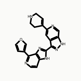 C1=C(c2cc3c(-c4nc5c(-c6ccoc6)nccc5[nH]4)n[nH]c3cn2)CCNC1